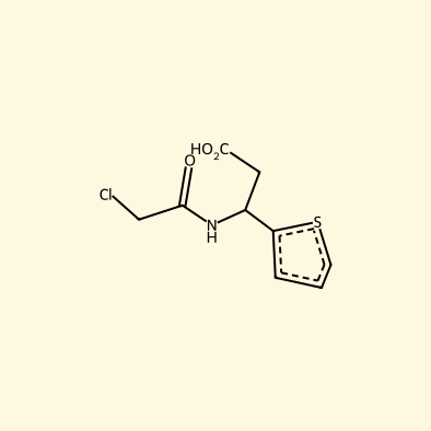 O=C(O)CC(NC(=O)CCl)c1cccs1